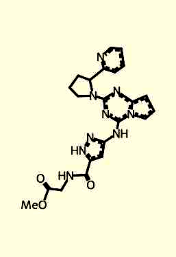 COC(=O)CNC(=O)c1cc(Nc2nc(N3CCCC3c3ccccn3)nc3cccn23)n[nH]1